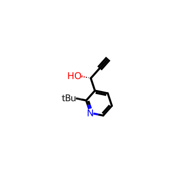 C#C[C@@H](O)c1cccnc1C(C)(C)C